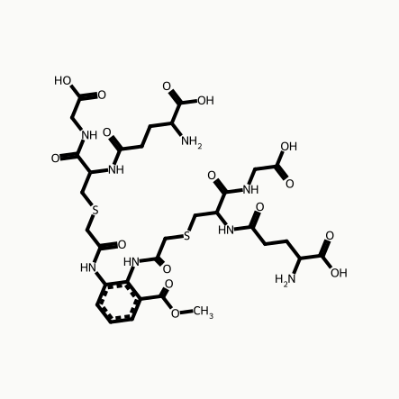 COC(=O)c1cccc(NC(=O)CSCC(NC(=O)CCC(N)C(=O)O)C(=O)NCC(=O)O)c1NC(=O)CSCC(NC(=O)CCC(N)C(=O)O)C(=O)NCC(=O)O